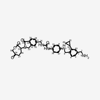 NCc1ccc(CNc2ccc(NC(=O)NCc3ccc4c(c3)CN(C3CCC(=O)CCC3=O)C4=O)cc2)c(C2CC2)c1